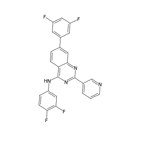 Fc1cc(F)cc(-c2ccc3c(Nc4ccc(F)c(F)c4)nc(-c4cccnc4)nc3c2)c1